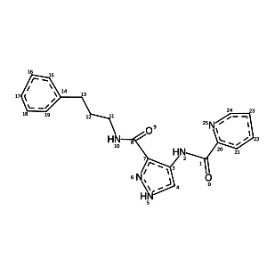 O=C(Nc1c[nH]nc1C(=O)NCCCc1ccccc1)c1ccccn1